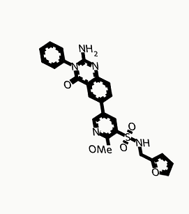 COc1ncc(-c2ccc3nc(N)n(-c4ccccc4)c(=O)c3c2)cc1S(=O)(=O)NCc1ccco1